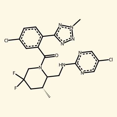 C[C@@H]1CC(F)(F)CN(C(=O)c2cc(Cl)ccc2-c2nnn(C)n2)C1CNc1ncc(Cl)cn1